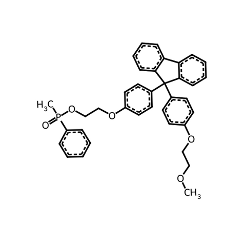 COCCOc1ccc(C2(c3ccc(OCCOP(C)(=O)c4ccccc4)cc3)c3ccccc3-c3ccccc32)cc1